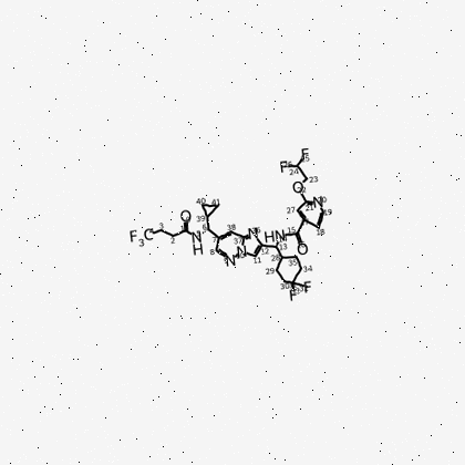 O=C(CCC(F)(F)F)N[C@@H](c1cnn2cc([C@@H](NC(=O)c3ccnc(OCC(F)F)c3)C3CCC(F)(F)CC3)nc2c1)C1CC1